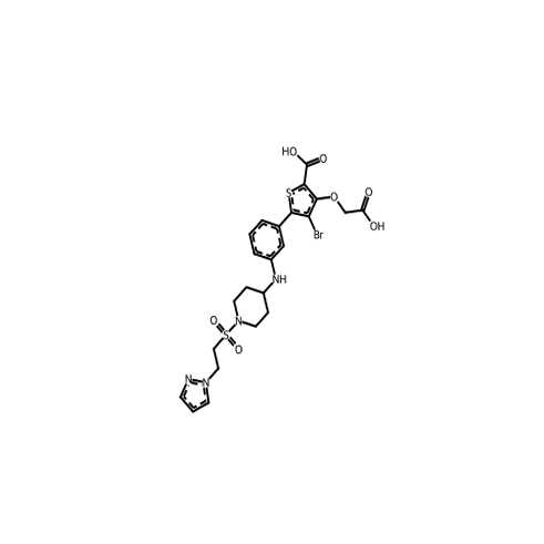 O=C(O)COc1c(C(=O)O)sc(-c2cccc(NC3CCN(S(=O)(=O)CCn4cccn4)CC3)c2)c1Br